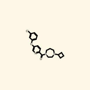 O=C(c1ccc(Oc2cccc(Cl)c2)cn1)N1CCCN(C2CCC2)CC1